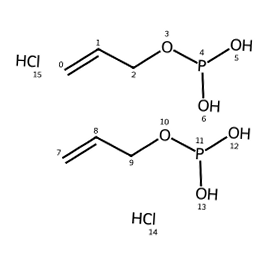 C=CCOP(O)O.C=CCOP(O)O.Cl.Cl